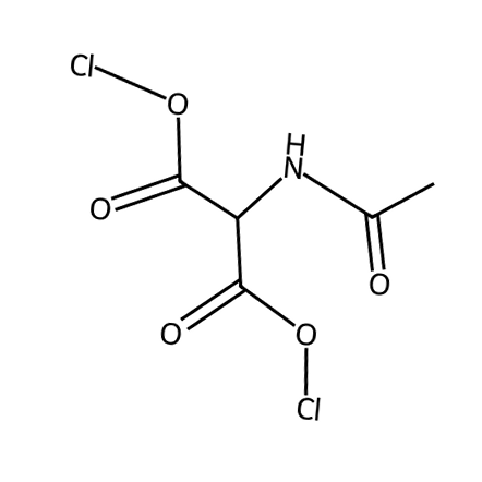 CC(=O)NC(C(=O)OCl)C(=O)OCl